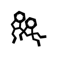 C=CCC1Cc2ccccc2C1C1(C=C)CC(CC=C)(CC=C)c2ccccc21